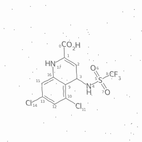 O=C(O)C1=CC(NS(=O)(=O)C(F)(F)F)c2c(Cl)cc(Cl)cc2N1